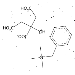 C[N+](C)(C)Cc1ccccc1.O=C(O)CC(O)(CC(=O)O)C(=O)[O-]